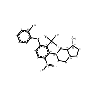 O=[N+]([O-])c1ccc(Oc2ccccc2F)c(C(F)(F)F)c1N1CCN2CC[C@@H](O)C2C1